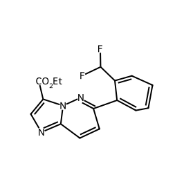 CCOC(=O)c1cnc2ccc(-c3ccccc3C(F)F)nn12